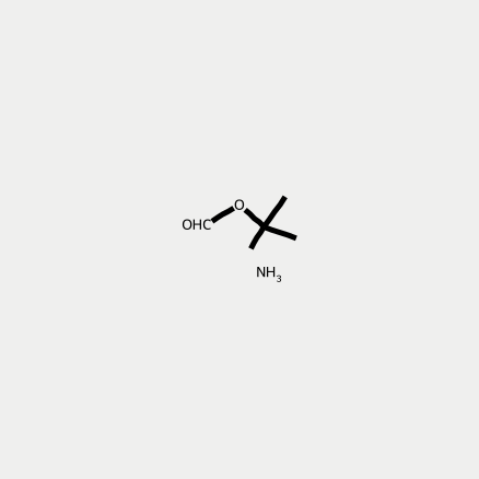 CC(C)(C)OC=O.N